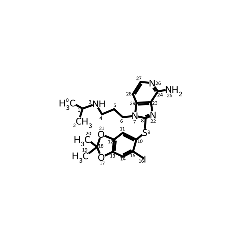 CC(C)NCCCn1c(Sc2cc3c(cc2I)OC(C)(C)O3)nc2c(N)nccc21